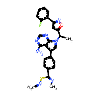 C=NS/C(=N\C)c1ccc(-c2cn(C(C)c3cc(-c4ccccc4F)no3)c3ncnc(N)c23)cc1